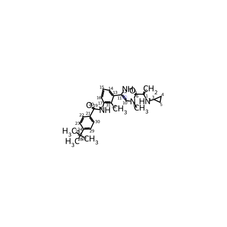 C=C(NC1CC1)C(=O)N(C)/C=C(\N)c1cccc(NC(=O)c2ccc(C(C)(C)C)cc2)c1C